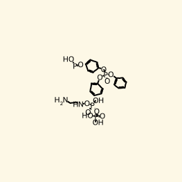 NCCNOP(=O)(O)OP(=O)(O)O.O=P(Oc1ccccc1)(Oc1ccccc1)Oc1ccccc1.O=PO